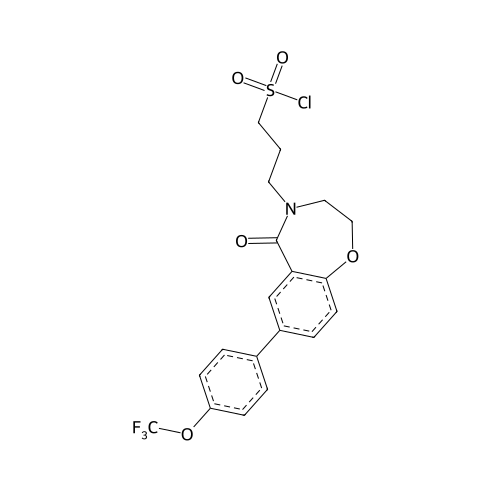 O=C1c2cc(-c3ccc(OC(F)(F)F)cc3)ccc2OCCN1CCCS(=O)(=O)Cl